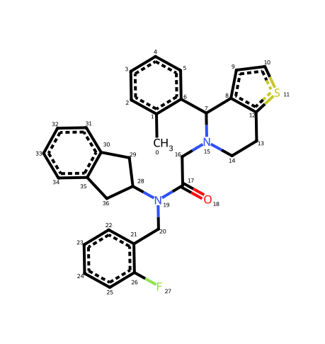 Cc1ccccc1C1c2ccsc2CCN1CC(=O)N(Cc1ccccc1F)C1Cc2ccccc2C1